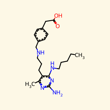 CCCCCNc1nc(N)nc(C)c1CCCNCc1ccc(CC(=O)O)cc1